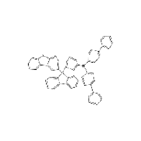 c1ccc(-c2ccc(N(c3ccc(-c4ccccc4)cc3)c3cccc(C4(c5ccc6sc7ccccc7c6c5)c5ccccc5-c5ccccc54)c3)cc2)cc1